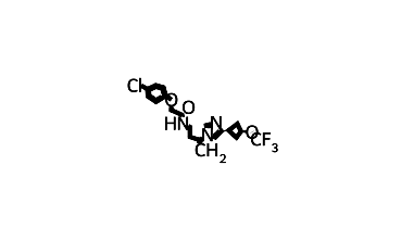 C=C(CCNC(=O)COc1ccc(Cl)cc1)n1cnc([C@H]2C[C@H](OC(F)(F)F)C2)c1